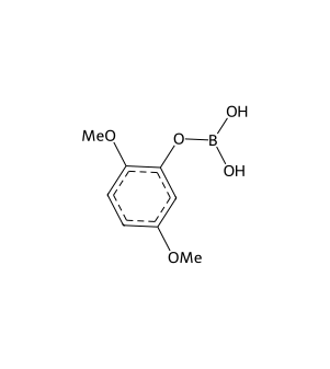 COc1ccc(OC)c(OB(O)O)c1